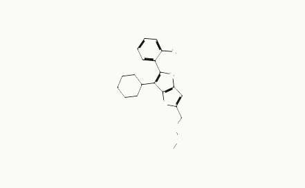 COOCc1cc2[nH]c(-c3ccccc3N)c(C3CCCCC3)c2s1